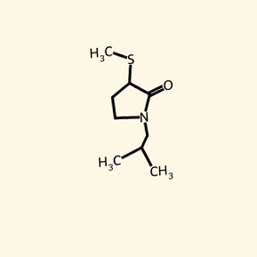 CSC1CCN(CC(C)C)C1=O